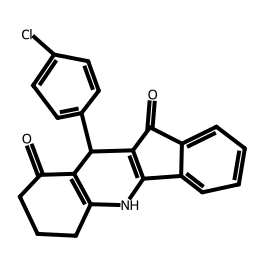 O=C1CCCC2=C1C(c1ccc(Cl)cc1)C1=C(N2)c2ccccc2C1=O